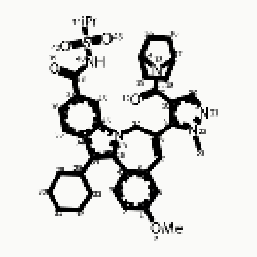 COc1ccc2c(c1)C=C(c1c(C(=O)N3C4CCC3CC4)cnn1C)Cn1c-2c(C2CCCCC2)c2ccc(C(=O)NS(=O)(=O)C(C)C)cc21